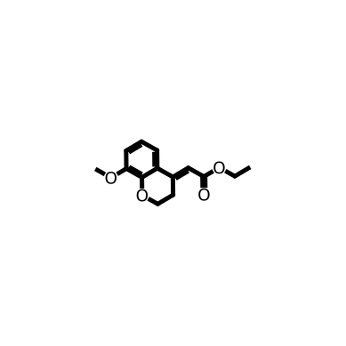 CCOC(=O)/C=C1\CCOc2c(OC)cccc21